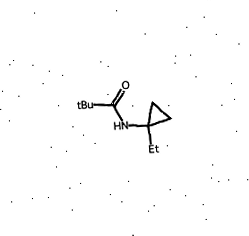 CCC1(NC(=O)C(C)(C)C)CC1